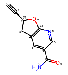 C#C[C@@H]1Cc2cc(C(N)=O)cnc2O1